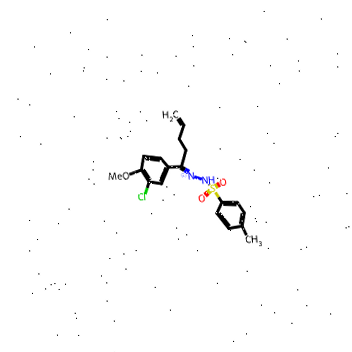 C=CCC/C(=N\NS(=O)(=O)c1ccc(C)cc1)c1ccc(OC)c(Cl)c1